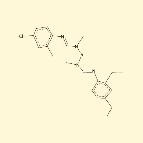 CCc1ccc(N=CN(C)SN(C)C=Nc2ccc(Cl)cc2C)c(CC)c1